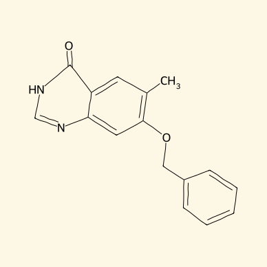 Cc1cc2c(=O)[nH]cnc2cc1OCc1ccccc1